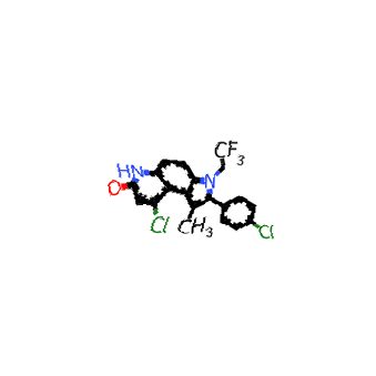 Cc1c(-c2ccc(Cl)cc2)n(CC(F)(F)F)c2ccc3[nH]c(=O)cc(Cl)c3c12